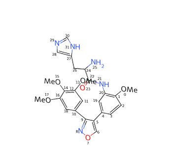 COc1ccc(-c2conc2-c2cc(OC)c(OC)c(OC)c2)cc1NC(=O)C(N)Cc1cnc[nH]1